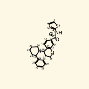 O=S(=O)(Nc1nccs1)c1ccc2c(c1)OCCC2N1CCCCC1c1ccccc1